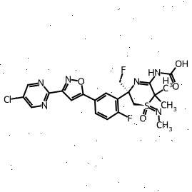 CN=[S@@]1(=O)C[C@@](CF)(c2cc(-c3cc(-c4ncc(Cl)cn4)no3)ccc2F)N=C(NC(=O)O)C1(C)C